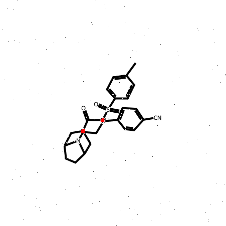 Cc1ccc(S(=O)(=O)NC(=O)N2CC3CCC(C2)N3CCOc2ccc(C#N)cc2)cc1